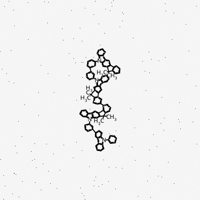 CC1(C)c2ccccc2-c2cc3c4ccccc4n(-c4cccc(-c5cccc(-n6c7ccccc7c7cc8c(cc76)C(C)(C)c6ccc(-c7cccc9c7-c7cc%10c%11ccccc%11n(-c%11cccc(-c%12ccc%13c(c%12)c%12ccccc%12n%13-c%12ccccc%12)c%11)c%10cc7C9(C)C)cc6-8)c5)c4)c3cc21